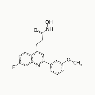 COc1cccc(-c2cc(CCC(=O)NO)c3ccc(F)cc3n2)c1